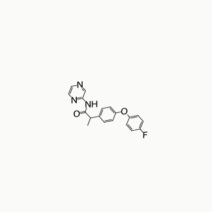 CC(C(=O)Nc1cnccn1)c1ccc(Oc2ccc(F)cc2)cc1